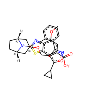 COc1cc(C(=O)O)cc2sc(N3[C@@H]4CC[C@H]3C[C@H](OCc3c(-c5ccccc5C)noc3C3CC3)C4)nc12